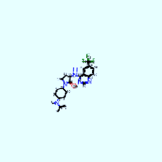 CC(C)N(C)[C@H]1CC[C@@H](N2CCC(Nc3ncnc4ccc(C(F)(F)F)cc34)C2=O)CC1